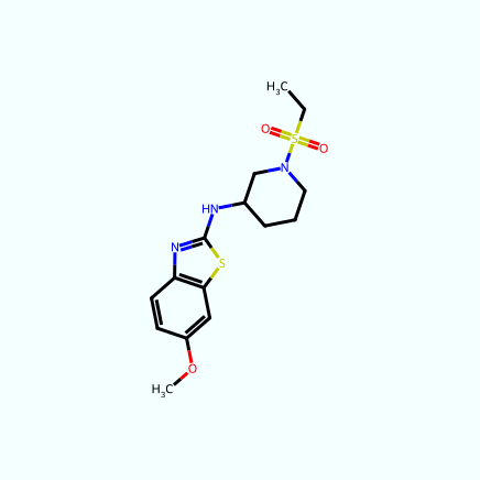 CCS(=O)(=O)N1CCCC(Nc2nc3ccc(OC)cc3s2)C1